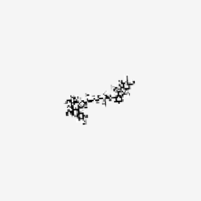 BC1(N2C(=O)c3cccc(OCC(=O)NCCCCNC(=O)C[C@@H]4N=C(c5ccc(Cl)cc5)c5c(sc(C)c5C)-n5c(C)nnc54)c3C2=O)CCC(=O)NC1=O